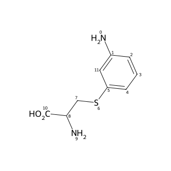 Nc1cccc(SCC(N)C(=O)O)c1